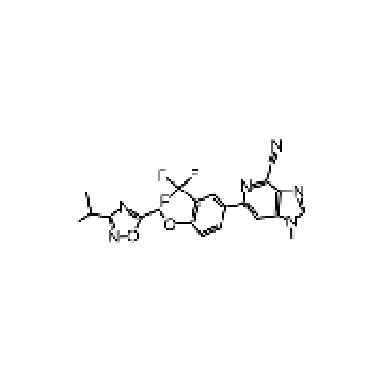 CC(C)c1noc(COc2ccc(-c3cc4c(ncn4C)c(C#N)n3)cc2C(F)(F)F)n1